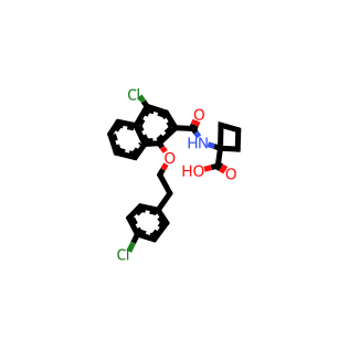 O=C(NC1(C(=O)O)CCC1)c1cc(Cl)c2ccccc2c1OCCc1ccc(Cl)cc1